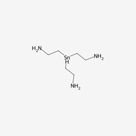 NC[CH2][SnH]([CH2]CN)[CH2]CN